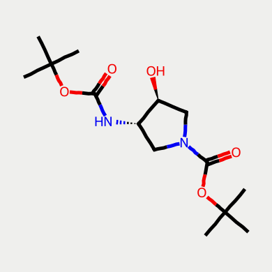 CC(C)(C)OC(=O)N[C@H]1CN(C(=O)OC(C)(C)C)C[C@@H]1O